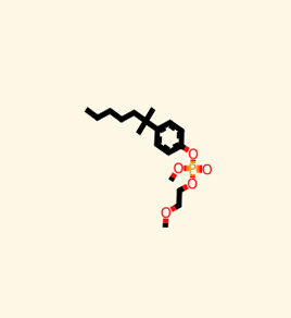 CCCCCC(C)(C)c1ccc(OP(=O)(OC)OCCOC)cc1